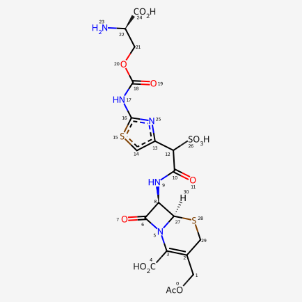 CC(=O)OCC1=C(C(=O)O)N2C(=O)[C@@H](NC(=O)C(c3csc(NC(=O)OC[C@@H](N)C(=O)O)n3)S(=O)(=O)O)[C@H]2SC1